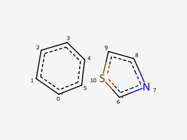 [c]1ccccc1.[c]1nccs1